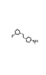 CNc1ccc(/C=C/c2cccc(F)c2)cc1